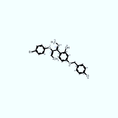 C/C=C(Oc1ccc(CC)cc1)\C(=N/C)c1ccc(OCc2ccc(Cl)cc2)cc1O